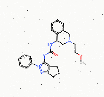 COCCN1Cc2ccccc2C(NC(=O)Nc2c3c(nn2-c2ccccc2)CCC3)C1